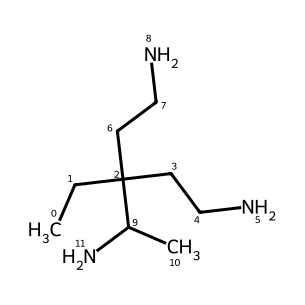 CCC(CCN)(CCN)C(C)N